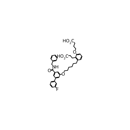 O=C(O)CCCOc1cccc(CCCCCCOc2cc(C(=O)NCc3ccccc3)cc(-c3cccc(F)c3)c2)c1CCC(=O)O